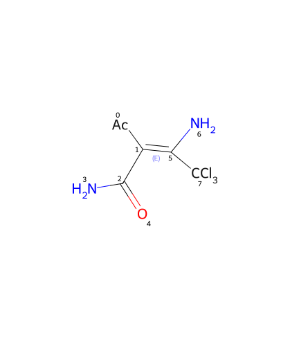 CC(=O)/C(C(N)=O)=C(\N)C(Cl)(Cl)Cl